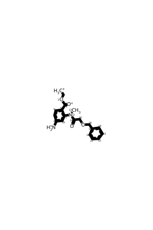 CCOC(=O)c1ccc(N)cc1N(C)C(=O)COCc1ccccc1